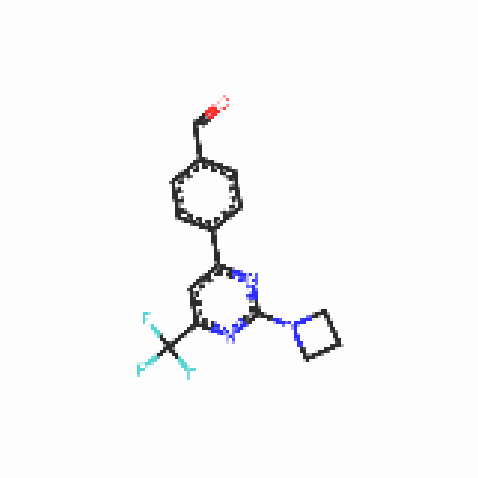 O=Cc1ccc(-c2cc(C(F)(F)F)nc(N3CCC3)n2)cc1